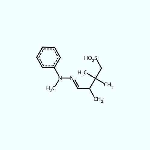 [CH2]C(C=NN(C)c1ccccc1)C(C)(C)CS(=O)(=O)O